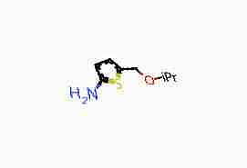 CC(C)OCc1ccc(N)s1